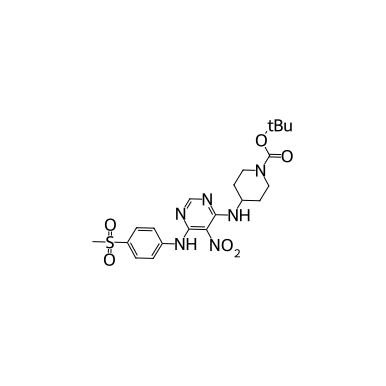 CC(C)(C)OC(=O)N1CCC(Nc2ncnc(Nc3ccc(S(C)(=O)=O)cc3)c2[N+](=O)[O-])CC1